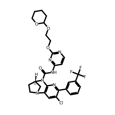 O=C(Nc1ccnc(OCCOC2CCCCO2)n1)N1c2nc(-c3cccc(C(F)(F)F)c3)c(Cl)cc2N2CC[C@H]1C2